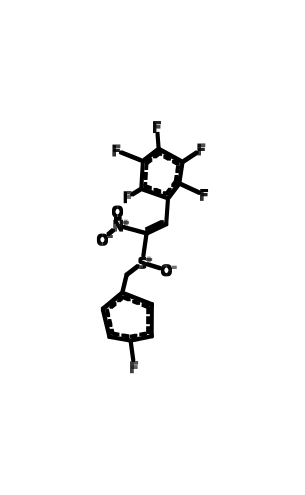 O=[N+]([O-])/C(=C\c1c(F)c(F)c(F)c(F)c1F)[S+]([O-])Cc1ccc(F)cc1